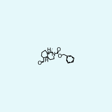 C[C@H]1[C@H]2CCCC(C=O)[C@@H]2CCN1C(=O)OCc1ccccc1